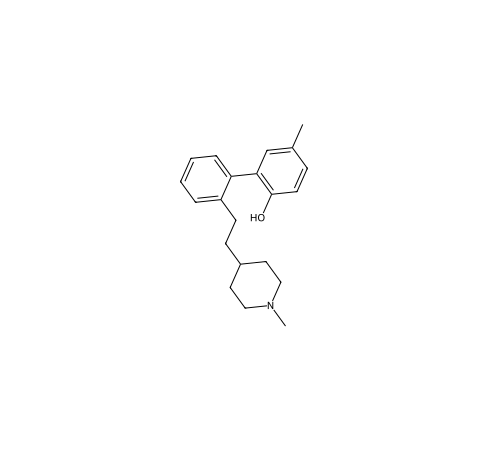 Cc1ccc(O)c(-c2ccccc2CCC2CCN(C)CC2)c1